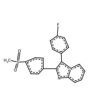 CS(=O)(=O)c1ccc(-c2nc3ccccn3c2-c2ccc(F)cc2)cc1